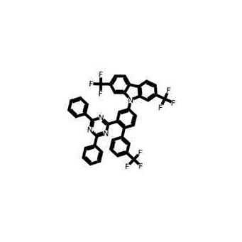 FC(F)(F)c1cccc(-c2ccc(-n3c4cc(C(F)(F)F)ccc4c4ccc(C(F)(F)F)cc43)cc2-c2nc(-c3ccccc3)nc(-c3ccccc3)n2)c1